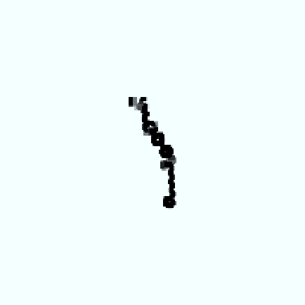 CCCCCc1cnc(-c2ccc(-c3ccc(OC(=O)CCCCCCCC4CCCC4)cc3)cc2)nc1